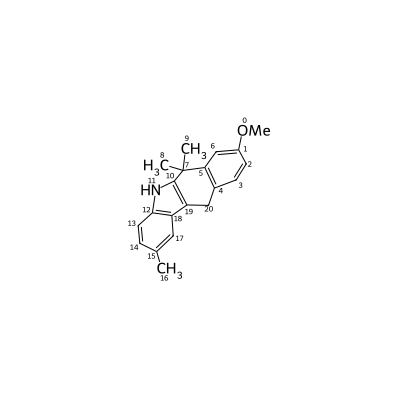 COc1ccc2c(c1)C(C)(C)c1[nH]c3ccc(C)cc3c1C2